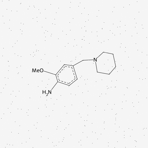 COc1cc(CN2CCCCC2)ccc1N